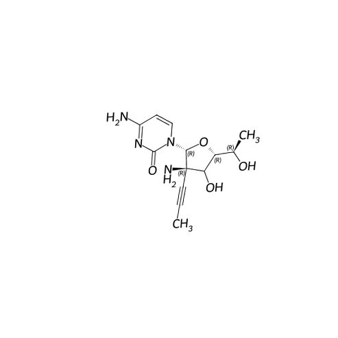 CC#C[C@@]1(N)C(O)[C@@H]([C@@H](C)O)O[C@H]1n1ccc(N)nc1=O